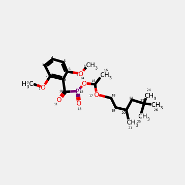 COc1cccc(OC)c1C(=O)[P](=O)OC(C)OCCC(C)CC(C)(C)C